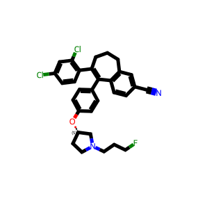 N#Cc1ccc2c(c1)CCCC(c1ccc(Cl)cc1Cl)=C2c1ccc(O[C@H]2CCN(CCCF)C2)cc1